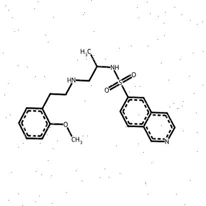 COc1ccccc1CCNCC(C)NS(=O)(=O)c1ccc2cnccc2c1